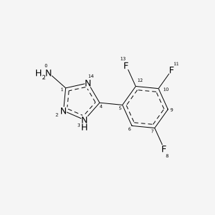 Nc1n[nH]c(-c2cc(F)cc(F)c2F)n1